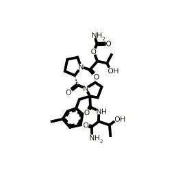 Cc1cccc(CC2(C(=O)NC(C(N)=O)C(C)O)CCCN2C(=O)[C@@H]2CCCN2C(=O)C(OC(N)=O)C(C)O)c1